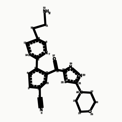 N#Cc1ccc(-c2ncc(CCN)cn2)c(C(=O)c2nnc(N3CCOCC3)s2)c1